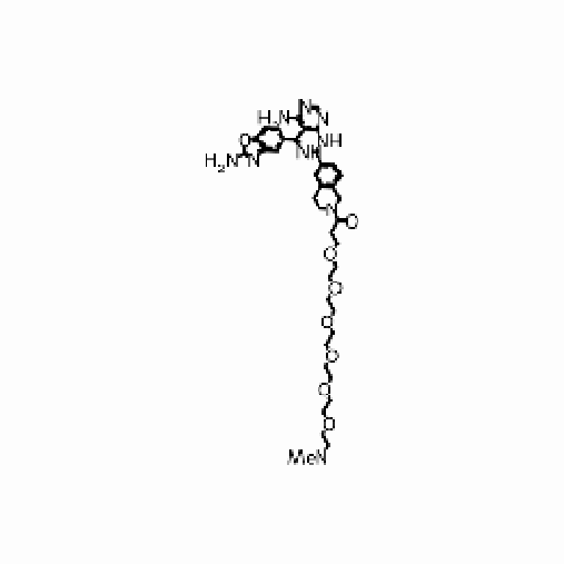 CNCCOCCOCCOCCOCCOCCOCCC(=O)N1CCc2cc(CNc3ncnc(N)c3C(=N)c3ccc4oc(N)nc4c3)ccc2C1